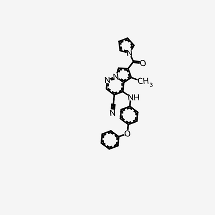 Cc1c(C(=O)n2cccc2)cn2ncc(C#N)c(Nc3ccc(Oc4ccccc4)cc3)c12